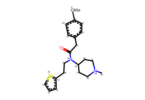 COc1ccc(CC(=O)N(CCc2cccs2)C2CCN(C)CC2)cc1